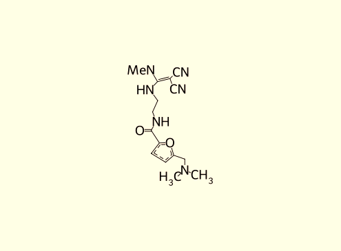 CNC(NCCNC(=O)c1ccc(CN(C)C)o1)=C(C#N)C#N